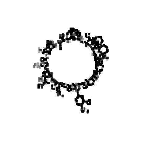 CC[C@H](C)[C@@H]1NC(=O)[C@H](CC(C)C)N(C)C(=O)C[C@@H](C(=O)N2CCCCC2)N(C)C(=O)[C@H](C2CCCCC2)N(C)C(=O)C2(CCCC2)NC(=O)[C@@H]2CCCN2C(=O)[C@H](CCc2ccc(C(F)(F)F)c(Cl)c2)NC(=O)CN(C)C(=O)[C@H](CCC(C)C)N(C)C(=O)CN(C)C(=O)CN(C)C1=O